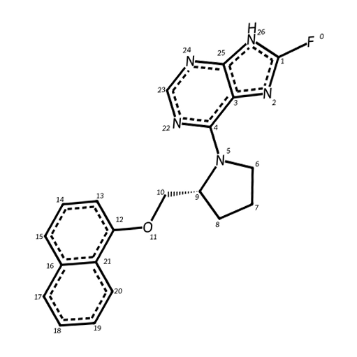 Fc1nc2c(N3CCC[C@@H]3COc3cccc4ccccc34)ncnc2[nH]1